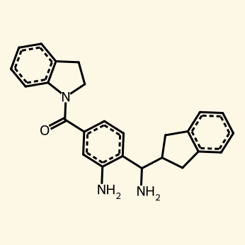 Nc1cc(C(=O)N2CCc3ccccc32)ccc1C(N)C1Cc2ccccc2C1